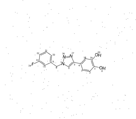 Oc1ccc(-c2cn(Cc3cccc(F)c3)nn2)cc1O